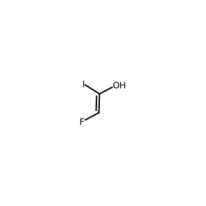 OC(I)=CF